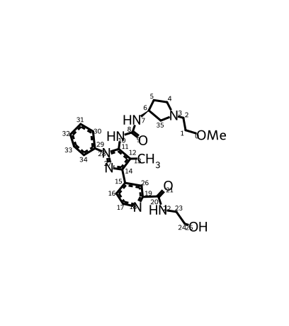 COCCN1CC[C@H](NC(=O)Nc2c(C)c(-c3ccnc(C(=O)NCCO)c3)nn2-c2ccccc2)C1